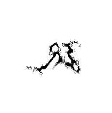 NC(=O)C=CC1OCCOC1COCC1OCCOC1C=CC(N)=O